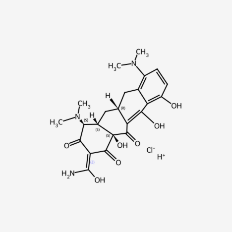 CN(C)c1ccc(O)c2c1C[C@H]1C[C@H]3[C@H](N(C)C)C(=O)/C(=C(\N)O)C(=O)[C@@]3(O)C(=O)C1=C2O.[Cl-].[H+]